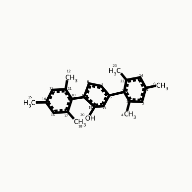 Cc1cc(C)c(-c2ccc(-c3c(C)cc(C)cc3C)c(O)c2)c(C)c1